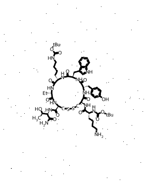 CC[C@@H]1NC(=O)[C@H](CCCCNC(=O)OC(C)(C)C)NC(=O)[C@@H](Cc2c[nH]c3ccccc23)NC(=O)[C@H](Cc2ccc(O)cc2)NC(=O)[C@@H](NC(=O)[C@@H](CCCCN)NC(=O)OC(C)(C)C)CSSC[C@@H](C(=O)N[C@H](C(N)=O)[C@@H](C)O)NC1=O